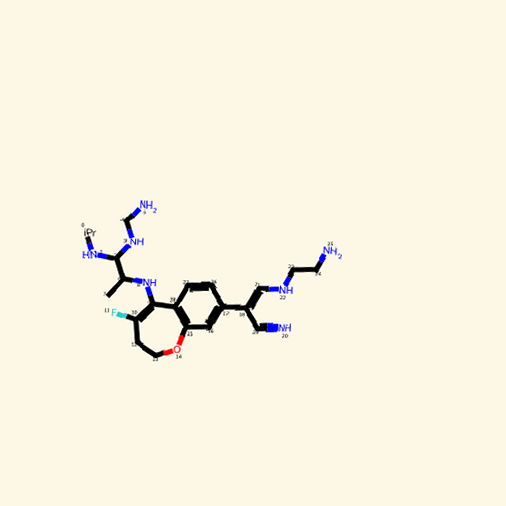 CC(C)NC(NCN)C(C)NC1=C(F)CCOc2cc(/C(C=N)=C/NCCN)ccc21